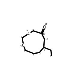 CCC1CCCCCCCC(=O)C1